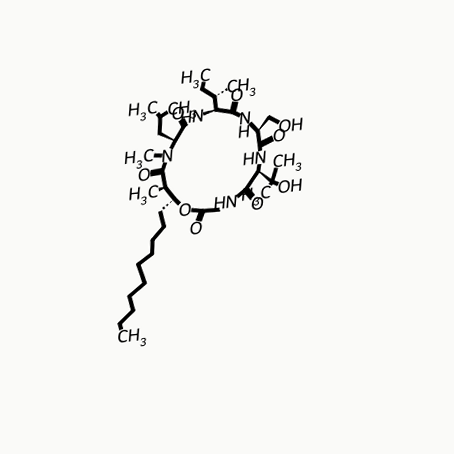 CCCCCCCCCC[C@H]1OC(=O)CNC(=O)[C@H](C(C)(C)O)NC(=O)[C@H](CO)NC(=O)[C@H]([C@@H](C)CC)NC(=O)[C@H](CC(C)C)N(C)C(=O)[C@@H]1C